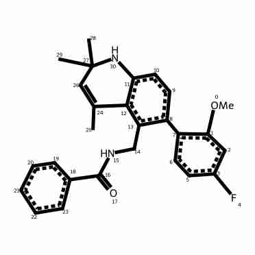 COc1cc(F)ccc1-c1ccc2c(c1CNC(=O)c1ccccc1)C(C)=CC(C)(C)N2